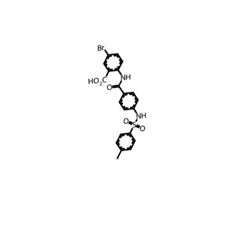 Cc1ccc(S(=O)(=O)Nc2ccc(C(=O)Nc3ccc(Br)cc3C(=O)O)cc2)cc1